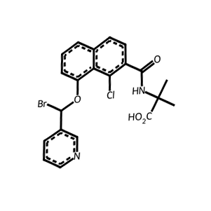 CC(C)(NC(=O)c1ccc2cccc(OC(Br)c3cccnc3)c2c1Cl)C(=O)O